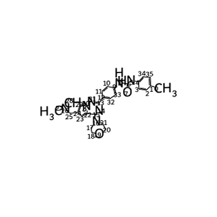 Cc1ccc(NC(=O)Nc2ccc(-c3nc(N4CCOCC4)c4cc(CN(C)C)cn4n3)cc2)cc1